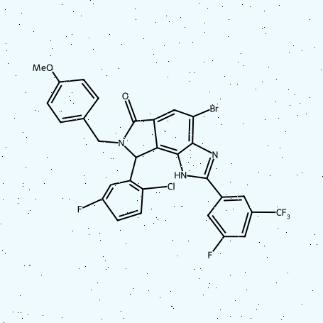 COc1ccc(CN2C(=O)c3cc(Br)c4nc(-c5cc(F)cc(C(F)(F)F)c5)[nH]c4c3C2c2cc(F)ccc2Cl)cc1